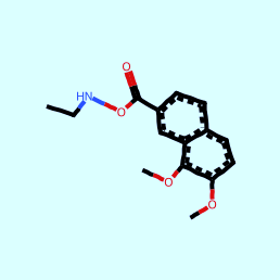 CCNOC(=O)c1ccc2ccc(OC)c(OC)c2c1